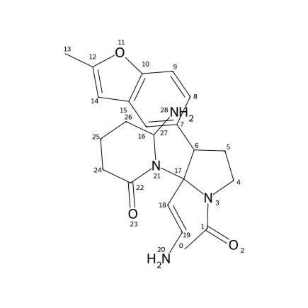 CC(=O)N1CCC(c2ccc3oc(C)cc3c2)C1(C=CN)N1C(=O)CCCC1N